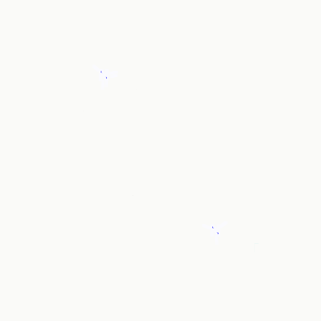 Fc1ccccc1N(c1ccc(-c2ccc3ccc4cc5c(c6ccc2c3c46)c2ccccc2n5-c2ccccc2)cc1)c1ccccc1F